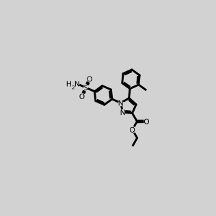 CCOC(=O)c1cc(-c2ccccc2C)n(-c2ccc(S(N)(=O)=O)cc2)n1